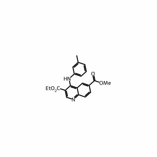 CCOC(=O)c1cnc2ccc(C(=O)OC)cc2c1Nc1cccc(C)c1